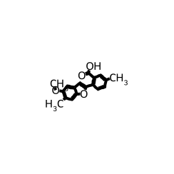 COc1cc2cc(-c3ccc(C)cc3C(=O)O)oc2cc1C